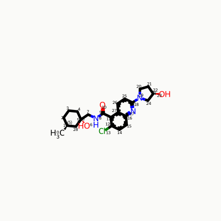 C[C@H]1CCC[C@@](O)(CNC(=O)c2c(Cl)ccc3nc(N4CC[C@@H](O)C4)ccc23)C1